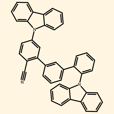 N#Cc1ccc(-n2c3ccccc3c3ccccc32)cc1-c1cccc(-c2ccccc2-n2c3ccccc3c3ccccc32)c1